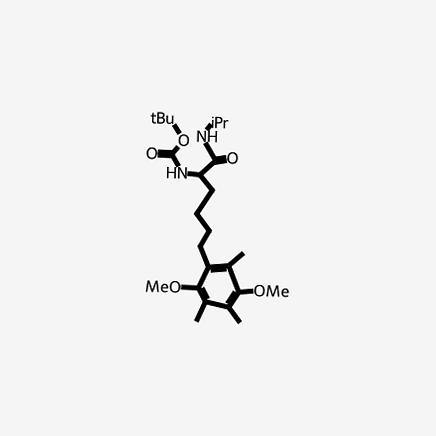 COc1c(C)c(C)c(OC)c(CCCCC(NC(=O)OC(C)(C)C)C(=O)NC(C)C)c1C